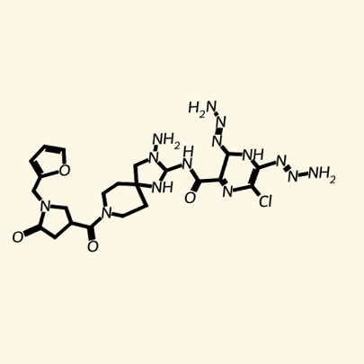 NN=NC1=C(Cl)N=C(C(=O)NC2NC3(CCN(C(=O)C4CC(=O)N(Cc5ccco5)C4)CC3)CN2N)C(N=NN)N1